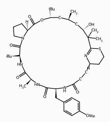 CC[C@H](C)[C@@H]1NC(=O)[C@H](C)NC(=O)[C@H](Cc2ccc(OC)cc2)NC(=O)CC[C@@H]2CCSC(=N2)C(C)(C)[C@@H](O)C[C@H](C)C[C@@H](C(C)(C)C)OC(=O)[C@@H]2CCCN2C1=O